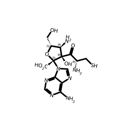 Nc1ncnc2c1ncn2[C@]1(C(=O)O)O[C@H](CO)[C@@H](N)[C@]1(O)C(=O)[C@@H](N)CS